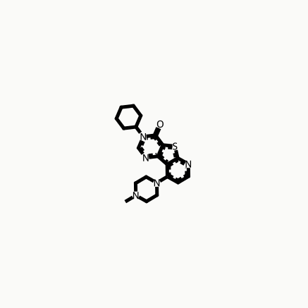 CN1CCN(c2ccnc3sc4c(=O)n(C5CCCCC5)cnc4c23)CC1